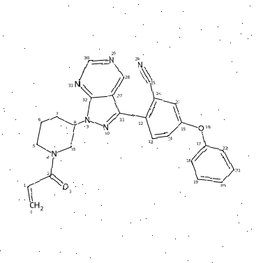 C=CC(=O)N1CCCC(n2nc(-c3ccc(Oc4ccccc4)cc3C#N)c3cncnc32)C1